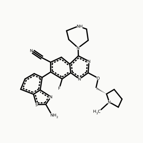 CN1CCC[C@H]1COc1nc(N2CCNCC2)c2cc(C#N)c(-c3cccc4sc(N)nc34)c(F)c2n1